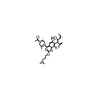 C=C(F)/C(=C(O)\C=C/C)c1c(Cl)cc2c(N3C[C@@H](C)N(C(C)=O)C[C@@H]3C)nc(OCCCN(C)C)nc2c1F